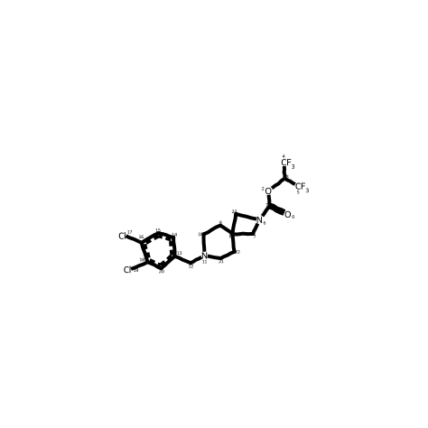 O=C(OC(C(F)(F)F)C(F)(F)F)N1CC2(CCN(Cc3ccc(Cl)c(Cl)c3)CC2)C1